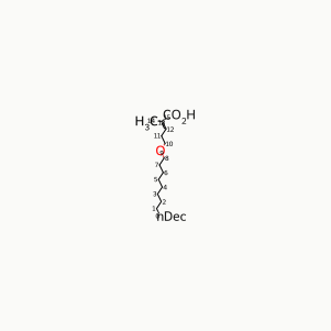 CCCCCCCCCCCCCCCCCCOCCC=C(C)C(=O)O